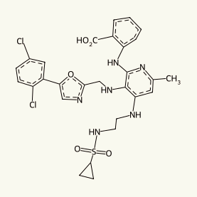 Cc1cc(NCCNS(=O)(=O)C2CC2)c(NCc2ncc(-c3cc(Cl)ccc3Cl)o2)c(Nc2ccccc2C(=O)O)n1